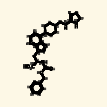 O=C(NC(Cn1cnc2c(N3CCC(CNC4=NCCN4)CC3)ncnc21)C(=O)O)OCc1ccccc1